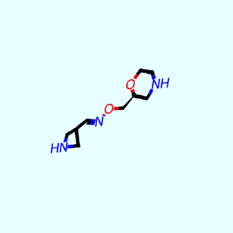 C(=NOC[C@@H]1CNCCO1)C1CNC1